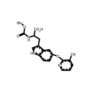 CC(C)(C)OC(=O)NC(Cc1c[nH]c2ccc(Oc3ncccc3C#N)cc12)C(=O)O